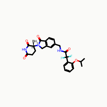 B[C@@]1(N2Cc3cc(CNC(=O)C(F)(F)c4ccccc4OC(C)C)ccc3C2=O)CCC(=O)NC1=O